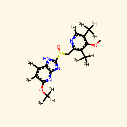 [2H]c1nc(C[S+]([O-])c2nc3nc(OC([2H])([2H])[2H])c([2H])c([2H])c3[nH]2)c(C([2H])([2H])[2H])c(OC)c1C([2H])([2H])[2H]